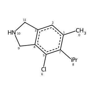 Cc1cc2c(c(Cl)c1C(C)C)CNC2